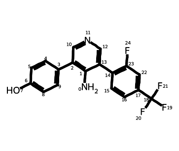 Nc1c(-c2ccc(O)cc2)cncc1-c1ccc(C(F)(F)F)cc1F